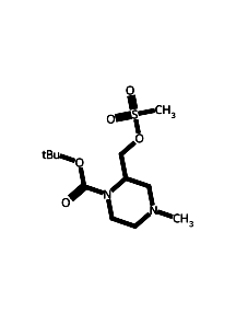 CN1CCN(C(=O)OC(C)(C)C)C(COS(C)(=O)=O)C1